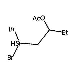 CCC(C[SiH](Br)Br)OC(C)=O